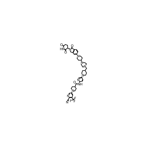 N#Cc1ncc(N2CCC(C(=O)Nc3ccc(N4CCC(CN5CCN(C6CCN(c7ccc8c(c7)CN(C7CCC(=O)NC7=O)C8=O)CC6)CC5)CC4)cn3)CC2)cc1C(F)(F)F